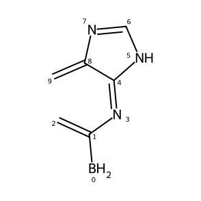 BC(=C)/N=C1/NC=NC1=C